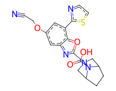 N#CCOc1cc(-c2nccs2)c2oc(N3CC4CCC(C3)N4C(=O)O)nc2c1